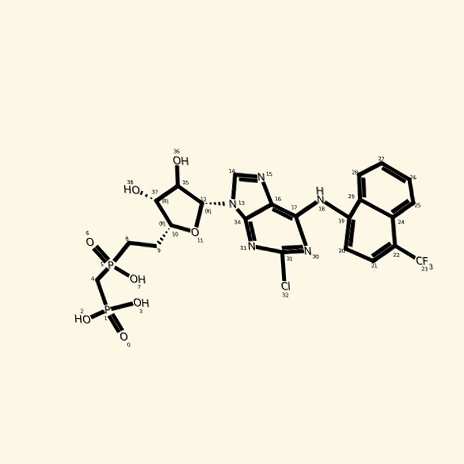 O=P(O)(O)CP(=O)(O)CC[C@H]1O[C@@H](n2cnc3c(Nc4ccc(C(F)(F)F)c5ccccc45)nc(Cl)nc32)C(O)[C@H]1O